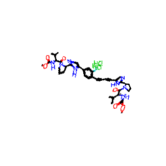 COC(=O)NC(C(=O)N1CCCC1c1ncc(-c2ccc(C#CC#Cc3cnc(C4CCCN4C(=O)[C@@H](NC(=O)OC)C(C)C)[nH]3)c(F)c2)[nH]1)C(C)C.Cl.Cl